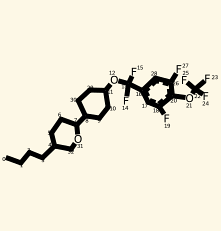 CCCCC1CCC(C2CCC(OC(F)(F)c3cc(F)c(OC(F)(F)F)c(F)c3)CC2)OC1